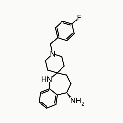 N[C@@H]1CCC2(CCN(Cc3ccc(F)cc3)CC2)Nc2ccccc21